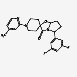 Cc1ccnc(N2CCC3(CC2)OC2CCC(c4cc(F)cc(F)c4)N2C3=O)c1